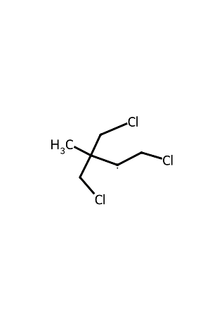 CC([CH]CCl)(CCl)CCl